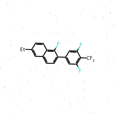 CCc1ccc2c(F)c(-c3cc(F)c(C(F)(F)F)c(F)c3)ccc2c1